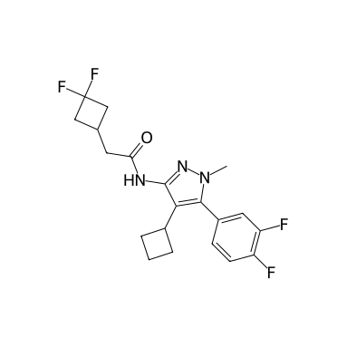 Cn1nc(NC(=O)CC2CC(F)(F)C2)c(C2CCC2)c1-c1ccc(F)c(F)c1